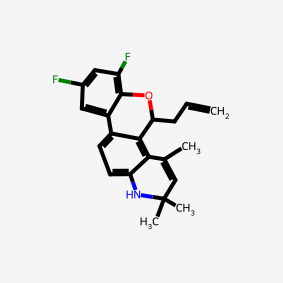 C=CCC1Oc2c(F)cc(F)cc2-c2ccc3c(c21)C(C)=CC(C)(C)N3